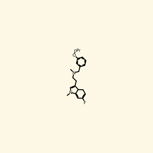 CCCOc1cccc(CN(C)CCC2=CN(C)C3=CC(F)=CCC23)c1